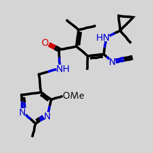 C=N/C(NC1(C)CC1)=C(\C)C(C(=O)NCc1cnc(C)nc1OC)=C(C)C